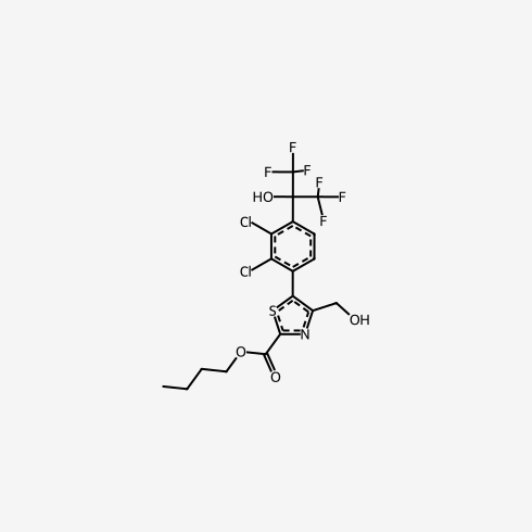 CCCCOC(=O)c1nc(CO)c(-c2ccc(C(O)(C(F)(F)F)C(F)(F)F)c(Cl)c2Cl)s1